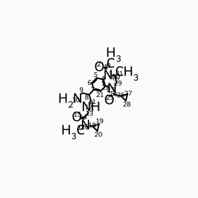 CC(=O)N1c2ccc(C(CN)CNCC(=O)N(C)C3CC3)cc2N(C(=O)C2CC2)C[C@@H]1C